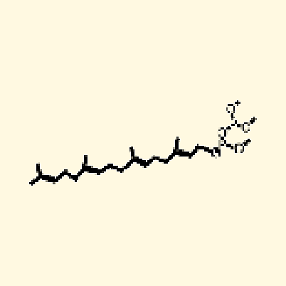 COP(OC)OP(OC)OC/C=C(\C)CC/C=C(\C)CC/C=C(\C)CCC=C(C)C